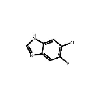 Fc1cc2n[c][nH]c2cc1Cl